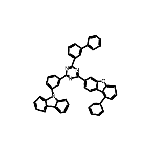 c1ccc(-c2cccc(-c3nc(-c4cccc(-n5c6ccccc6c6ccccc65)c4)nc(-c4ccc5c(c4)oc4cccc(-c6ccccc6)c45)n3)c2)cc1